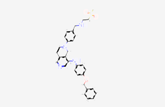 CS(=O)(=O)CCNCc1ccc(N2C=Cc3cncc(Nc4ccc(OCc5ccccc5)cc4)c3C2)cc1